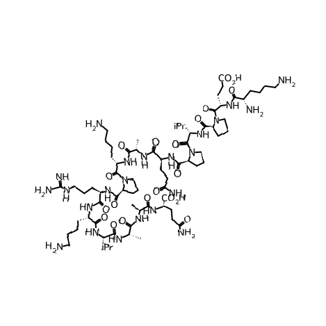 CC(C)[C@H](NC(=O)[C@H](CCCCN)NC(=O)[C@@H](CCCNC(=N)N)NC(=O)[C@@H]1CCCN1C(=O)[C@H](CCCCN)NC(=O)[C@H](C)NC(=O)[C@H](CCC(N)=O)NC(=O)[C@@H]1CCCN1C(=O)[C@@H](NC(=O)[C@@H]1CCCN1C(=O)[C@H](CCC(=O)O)NC(=O)[C@@H](N)CCCCN)C(C)C)C(=O)N[C@@H](C)C(=O)N[C@@H](C)C(=O)N[C@@H](CCC(N)=O)C(=O)O